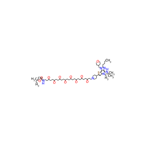 CCCCc1nc2c(NC(C)(C)C)nc3cc(C4CCN(CCC(=O)CCC(=O)CCC(=O)CCC(=O)CCC(=O)CCC(=O)CCC(=O)CCC(=O)CCNC(=O)OC(C)(C)C)CC4)sc3c2n1CC1CCOCC1